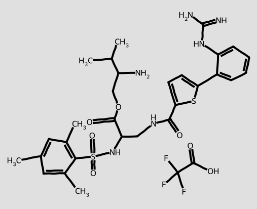 Cc1cc(C)c(S(=O)(=O)NC(CNC(=O)c2ccc(-c3ccccc3NC(=N)N)s2)C(=O)OCC(N)C(C)C)c(C)c1.O=C(O)C(F)(F)F